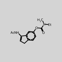 CCN(C)C(=O)Oc1ccc2c(c1)C(NC(C)=O)=CC2